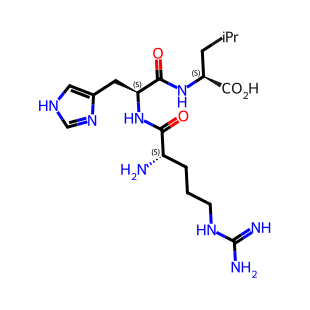 CC(C)C[C@H](NC(=O)[C@H](Cc1c[nH]cn1)NC(=O)[C@@H](N)CCCNC(=N)N)C(=O)O